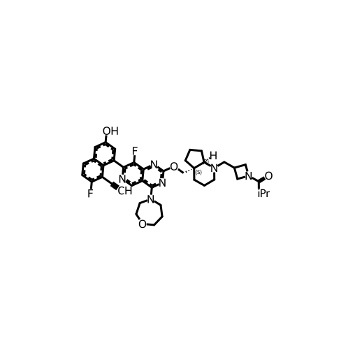 C#Cc1c(F)ccc2cc(O)cc(-c3ncc4c(N5CCCOCC5)nc(OC[C@]56CCC[C@H]5N(CC5CN(C(=O)C(C)C)C5)CCC6)nc4c3F)c12